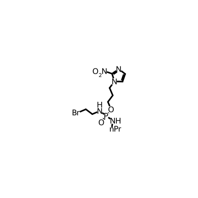 CCCNP(=O)(NCCBr)OCCCn1ccnc1[N+](=O)[O-]